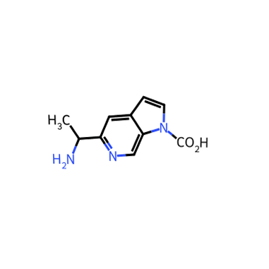 CC(N)c1cc2ccn(C(=O)O)c2cn1